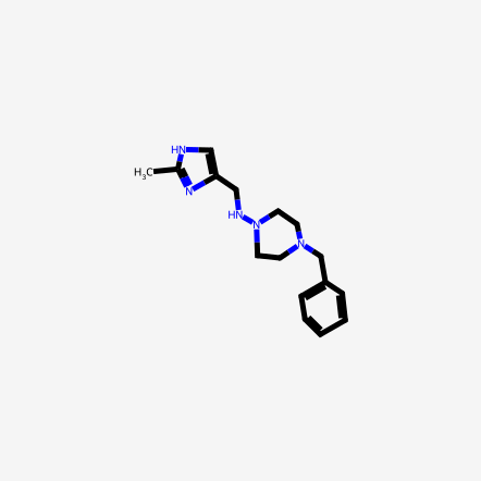 Cc1nc(CNN2CCN(Cc3ccccc3)CC2)c[nH]1